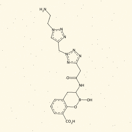 NCCn1cc(Cn2nnc(CC(=O)NC3Cc4cccc(C(=O)O)c4OB3O)n2)nn1